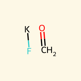 C=O.[F][K]